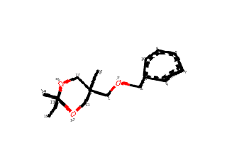 CC1(COCc2ccccc2)COC(C)(C)OC1